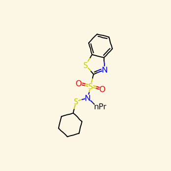 CCCN(SC1CCCCC1)S(=O)(=O)c1nc2ccccc2s1